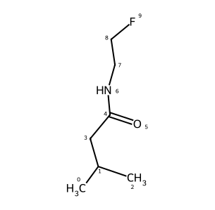 CC(C)CC(=O)NCCF